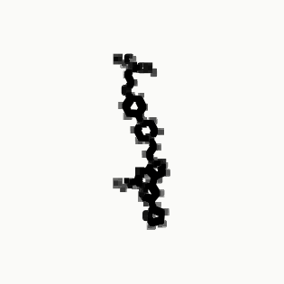 CN(C)CCOc1ccc(N2CCN(CCn3ncc4c3nc(N)n3nc(-c5ccco5)cc43)CC2)cc1